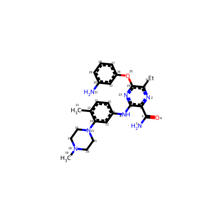 CCc1nc(C(N)=O)c(Nc2ccc(C)c(N3CCN(C)CC3)c2)nc1Oc1cccc(N)c1